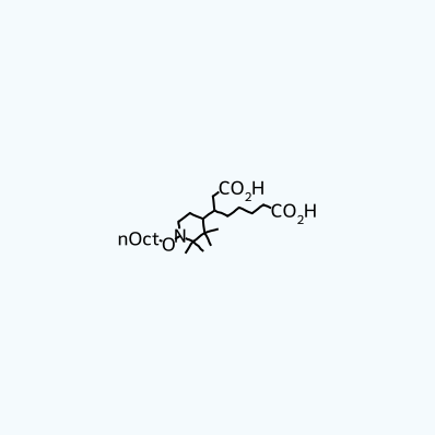 CCCCCCCCON1CCC(C(CCCCC(=O)O)CC(=O)O)C(C)(C)C1(C)C